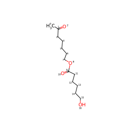 CC(=O)CCCCCOC(=O)CCCCCO